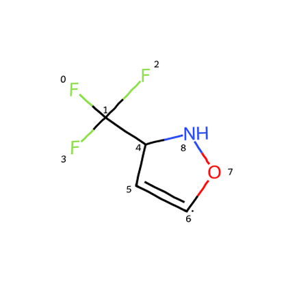 FC(F)(F)C1C=[C]ON1